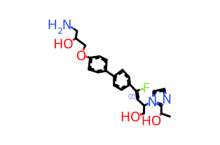 CC(O)c1nccn1C(/C=C(\F)c1ccc(-c2ccc(OCC(O)CN)cc2)cc1)CO